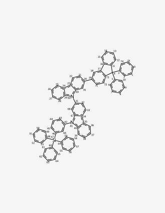 c1ccc(C2(c3ccccc3)c3ccccc3-c3cc(-c4ccc5c6ccccc6n(-c6ccc7c8ccccc8n(-c8cccc([Si](c9ccccc9)(c9ccccc9)c9ccccc9)c8)c7c6)c5c4)ccc32)cc1